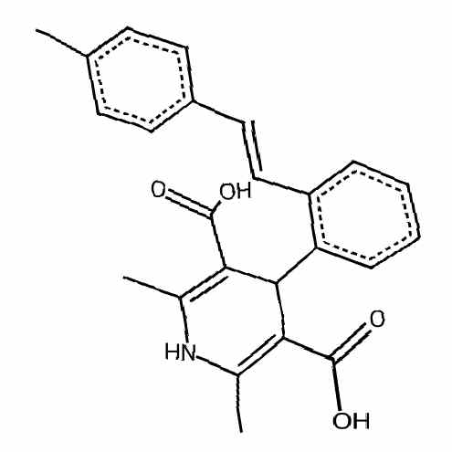 CC1=C(C(=O)O)C(c2ccccc2C=Cc2ccc(C)cc2)C(C(=O)O)=C(C)N1